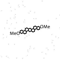 COc1ccc2c(ccc3c4cc5ccc6c7ccc(OC)cc7ccc6c5cc4ccc23)c1